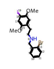 COc1cc(CCNCc2ccccc2Br)c(OC)cc1I